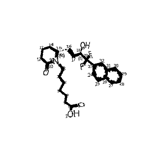 O=C(O)CCCCCCN1C(=O)CCC[C@@H]1C=C[C@@H](O)C(F)(F)c1ccc2ccccc2c1